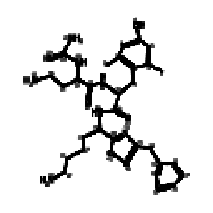 Cc1cc(O)cc(C)c1CC(NC(=O)C(CCN)NC(=N)N)C(=O)NC(CCCCN)c1nc(Cc2ccccc2)no1